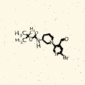 CC(C)(C)OC(=O)N[C@@H]1CCCN(c2cnc(Br)cc2C=O)C1